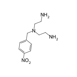 NCCN(CCN)Cc1ccc([N+](=O)[O-])cc1